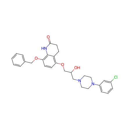 O=C1CCc2c(OCC(O)CN3CCN(c4cccc(Cl)c4)CC3)ccc(OCc3ccccc3)c2N1